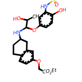 CCOC(=O)COc1ccc2c(c1)CC(NC(Oc1ccc(O)c(NS(C)(=O)=O)c1)C(C)O)CC2